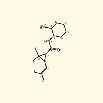 CC(C)=C[C@@H]1[C@H](C(=O)N[C@@H]2CCCC[C@@H]2C(C)C)C1(C)C